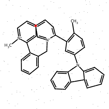 Cc1ccc(-n2c3ccccc3c3ccccc32)cc1-c1cccc[n+]1Cc1ccccc1-c1cccc[n+]1C